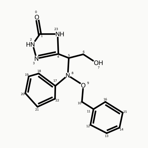 O=c1[nH]nc(C(CO)N(OCc2ccccc2)c2ccccc2)[nH]1